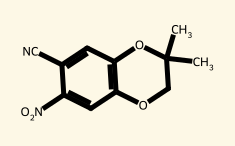 CC1(C)COc2cc([N+](=O)[O-])c(C#N)cc2O1